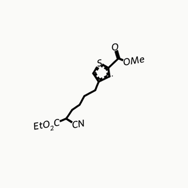 CCOC(=O)C(C#N)CCCCc1[c]c(C(=O)OC)sc1